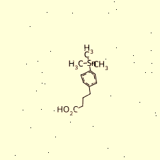 [CH3][Sn]([CH3])([CH3])[c]1ccc(CCCC(=O)O)cc1